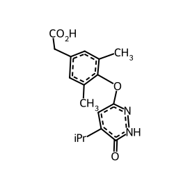 Cc1cc(CC(=O)O)cc(C)c1Oc1cc(C(C)C)c(=O)[nH]n1